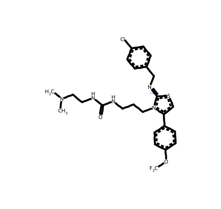 CN(C)CCNC(=O)NCCCn1c(-c2ccc(OC(F)(F)F)cc2)cs/c1=N\Cc1ccc(Cl)cc1